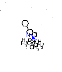 CC(C)(C)[Si](C)(C)n1ccc2cc(C3CCCCC3)cnc21